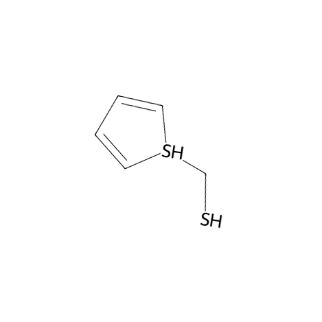 SC[SH]1C=CC=C1